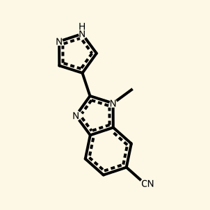 Cn1c(-c2cn[nH]c2)nc2ccc(C#N)cc21